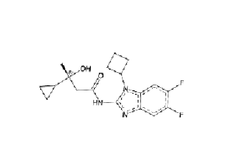 C[C@@](O)(CC(=O)Nc1nc2cc(F)c(F)cc2n1C1CCC1)C1CC1